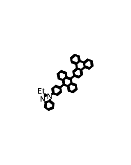 CCc1nc2ccccc2n1-c1ccc(-c2c3ccccc3c(-c3ccc4c5ccccc5c5ccccc5c4c3)c3ccccc23)cc1